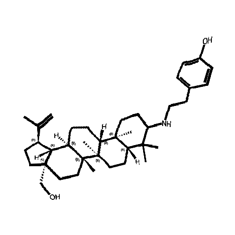 C=C(C)[C@@H]1CC[C@]2(CO)CC[C@]3(C)[C@H](CC[C@@H]4[C@@]5(C)CCC(NCCc6ccc(O)cc6)C(C)(C)[C@@H]5CC[C@]43C)[C@@H]12